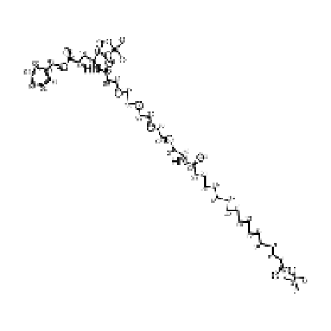 CC(C)(C)OC(=O)CCCCCCCCCCCCCCCCC(=O)NCCOCCOCCOCCOCCC(=O)NC(CCC(=O)OCc1ccccc1)C(=O)OC(C)(C)C